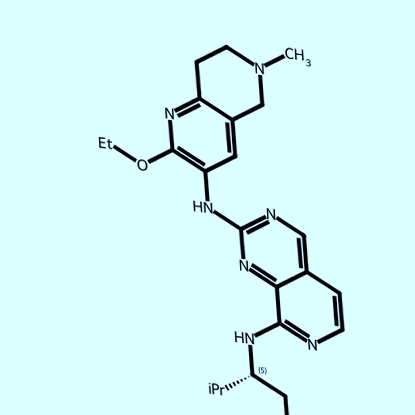 CCOc1nc2c(cc1Nc1ncc3ccnc(N[C@H](CO)C(C)C)c3n1)CN(C)CC2